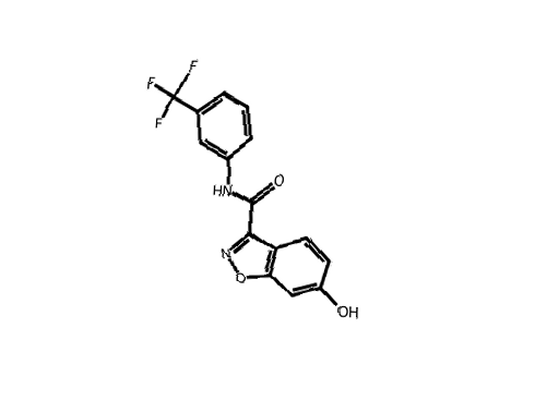 O=C(Nc1cccc(C(F)(F)F)c1)c1noc2cc(O)ccc12